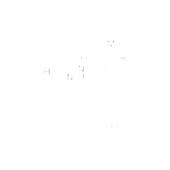 C=NNC1c2ccc(Cl)cc2CC1(O)C(=O)OC